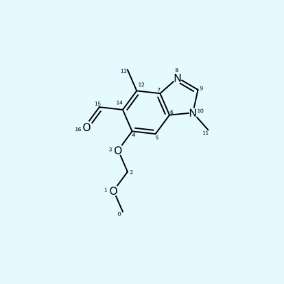 COCOc1cc2c(ncn2C)c(C)c1C=O